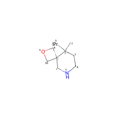 CC(C)C1(C)CCNCC12COC2